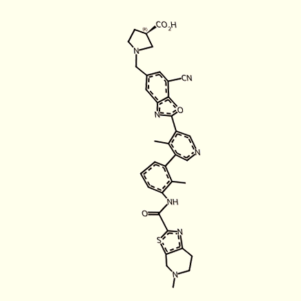 Cc1c(NC(=O)c2nc3c(s2)CN(C)CC3)cccc1-c1cncc(-c2nc3cc(CN4CC[C@@H](C(=O)O)C4)cc(C#N)c3o2)c1C